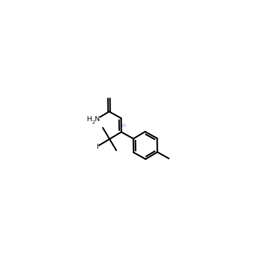 C=C(N)/C=C(/c1ccc(C)cc1)C(C)(C)I